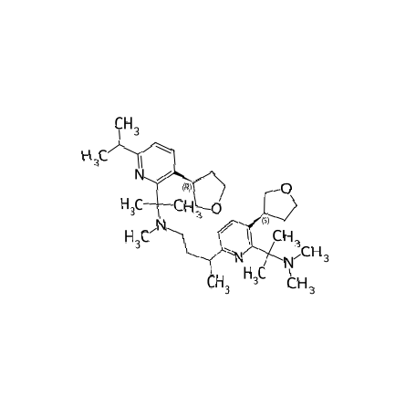 CC(C)c1ccc([C@H]2CCOC2)c(C(C)(C)N(C)CCC(C)c2ccc([C@@H]3CCOC3)c(C(C)(C)N(C)C)n2)n1